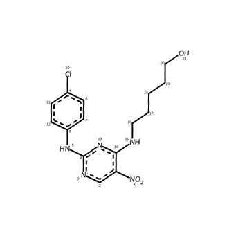 O=[N+]([O-])c1cnc(Nc2ccc(Cl)cc2)nc1NCCCCCO